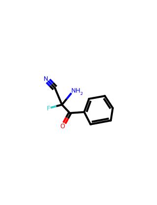 N#CC(N)(F)C(=O)c1ccccc1